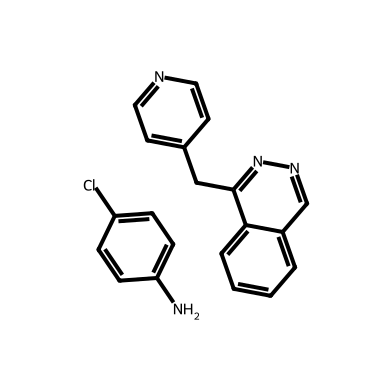 Nc1ccc(Cl)cc1.c1ccc2c(Cc3ccncc3)nncc2c1